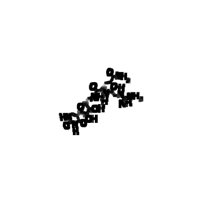 N=C(N)NCC(=O)N[C@@H](CCC(N)=O)C(=O)NC[C@H]1O[C@@H](c2c[nH]c(=O)[nH]c2=O)[C@H](O)[C@@H]1O